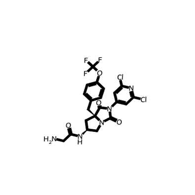 NCC(=O)N[C@@H]1CN2C(=O)N(c3cc(Cl)nc(Cl)c3)C(=O)[C@@]2(Cc2ccc(OC(F)(F)F)cc2)C1